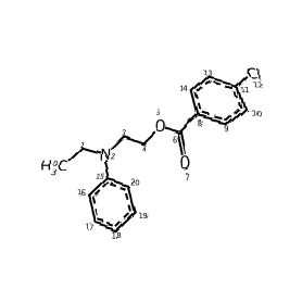 CCN(CCOC(=O)c1ccc(Cl)cc1)c1ccccc1